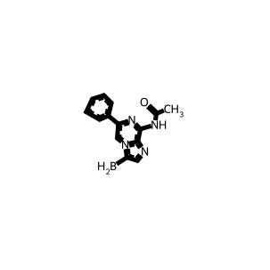 Bc1cnc2c(NC(C)=O)nc(-c3ccccc3)cn12